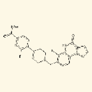 CNC(=O)c1ccc(C2=CCN(Cc3ccc4c([nH]c(=O)c5cccn54)c3F)CC2)c(F)n1